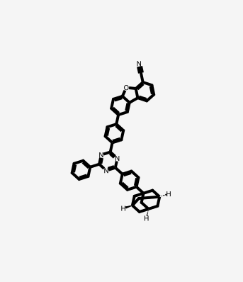 N#Cc1cccc2c1oc1ccc(-c3ccc(-c4nc(-c5ccccc5)nc(-c5ccc(C67C[C@H]8C[C@H](C6)C[C@@H](C7)C8)cc5)n4)cc3)cc12